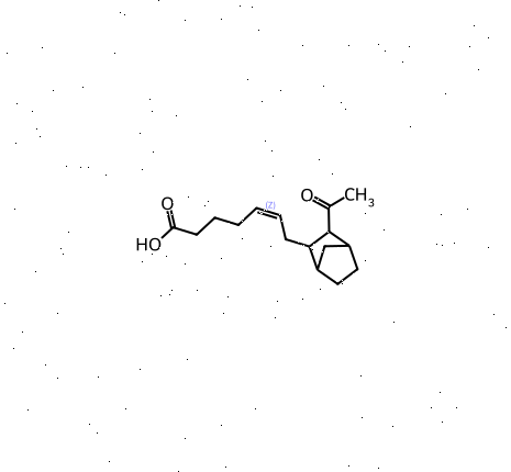 CC(=O)C1C2CCC(C2)C1C/C=C\CCCC(=O)O